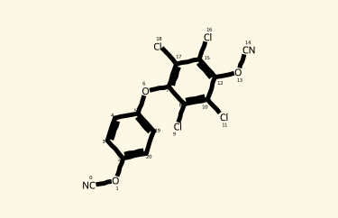 N#COc1ccc(Oc2c(Cl)c(Cl)c(OC#N)c(Cl)c2Cl)cc1